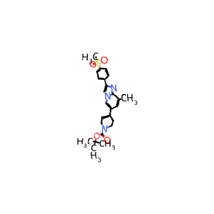 Cc1cc(C2=CCN(C(=O)OC(C)(C)C)CC2)cn2cc(-c3ccc(S(C)(=O)=O)cc3)nc12